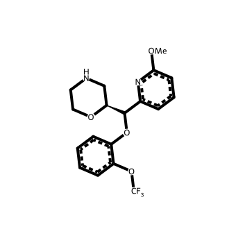 COc1cccc(C(Oc2ccccc2OC(F)(F)F)[C@@H]2CNCCO2)n1